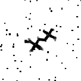 CC[N+](C)(C)COP(=O)([O-])OC